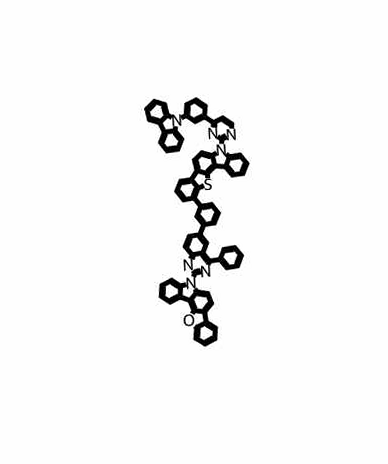 c1ccc(-c2nc(-n3c4ccccc4c4c5oc6ccccc6c5ccc43)nc3ccc(-c4cccc(-c5cccc6c5sc5c6ccc6c5c5ccccc5n6-c5nccc(-c6cccc(-n7c8ccccc8c8ccccc87)c6)n5)c4)cc23)cc1